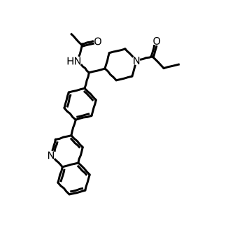 CCC(=O)N1CCC(C(NC(C)=O)c2ccc(-c3cnc4ccccc4c3)cc2)CC1